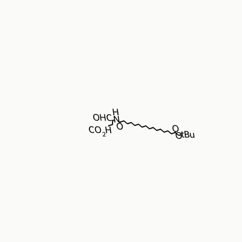 CC(C)(C)OC(=O)CCCCCCCCCCCCCCC(=O)NC(C=O)CCC(=O)O